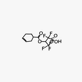 O=C(OC(C(F)(F)F)C(F)(F)S(=O)(=O)O)C1CC=CCC1